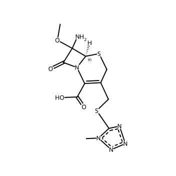 COC1(N)C(=O)N2C(C(=O)O)=C(CSc3nnnn3C)CS[C@@H]21